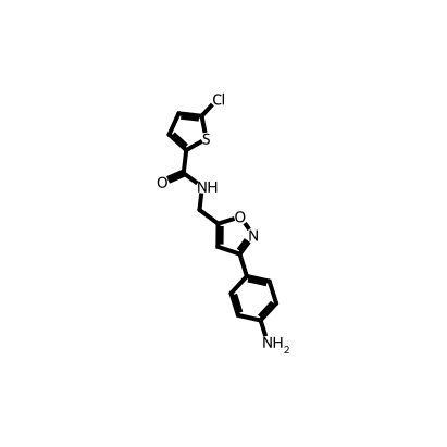 Nc1ccc(-c2cc(CNC(=O)c3ccc(Cl)s3)on2)cc1